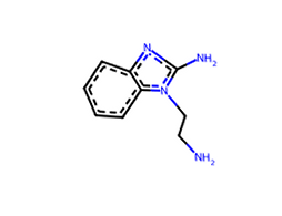 NCCn1c(N)nc2ccccc21